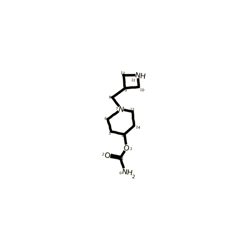 NC(=O)OC1CCN(CC2CNC2)CC1